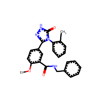 CCOc1ccc(-c2n[nH]c(=O)n2-c2ccccc2C)cc1C(=O)NCc1ccccc1